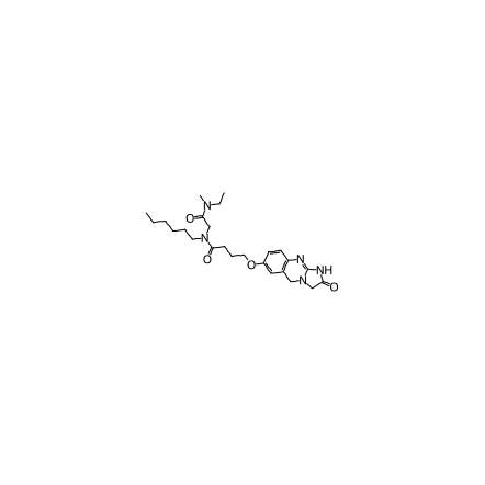 CCCCCCN(CC(=O)N(C)CC)C(=O)CCCOc1ccc2c(c1)CN1CC(=O)NC1=N2